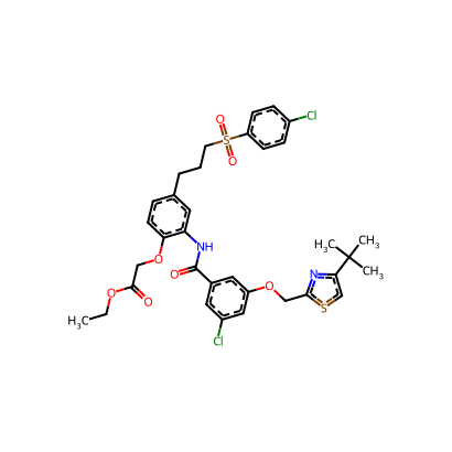 CCOC(=O)COc1ccc(CCCS(=O)(=O)c2ccc(Cl)cc2)cc1NC(=O)c1cc(Cl)cc(OCc2nc(C(C)(C)C)cs2)c1